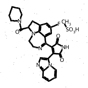 CS(=O)(=O)O.O=C1NC(=O)C(c2cnc3ccccn23)=C1C1=NCCN2c3c(cc(F)cc31)CC2C(=O)N1CCCCC1